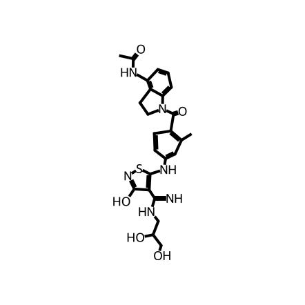 CC(=O)Nc1cccc2c1CCN2C(=O)c1ccc(Nc2snc(O)c2C(=N)NCC(O)CO)cc1C